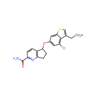 NC(=O)c1ccc2c(n1)CCC2Oc1cc(Cl)c2c(CC(=O)O)csc2c1